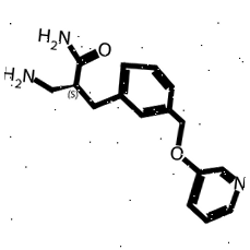 NC[C@H](Cc1cccc(COc2cccnc2)c1)C(N)=O